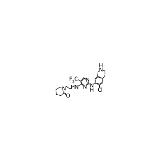 O=C1CCCCN1CCCNc1nc(Nc2cc3c(cc2Cl)CCNC3)ncc1C(F)(F)F